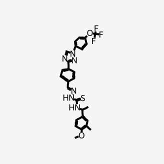 COc1ccc(C(C)NC(=S)N/N=C/c2ccc(-c3ncn(-c4ccc(OC(F)(F)F)cc4)n3)cc2)cc1C